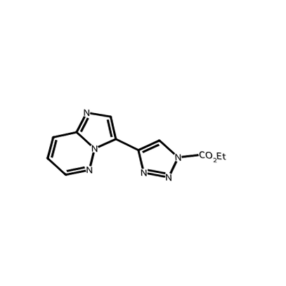 CCOC(=O)n1cc(-c2cnc3cccnn23)nn1